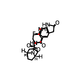 NC1CCN(S(=O)(=O)N2[C@@H]3CC[C@H]2C[C@H](NC(=O)c2cc4c(cc2F)NC(=O)C4)C3)CC1